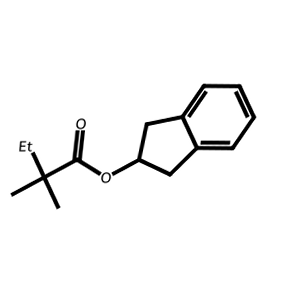 CCC(C)(C)C(=O)OC1Cc2ccccc2C1